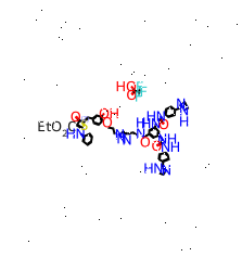 CCOC(=O)C1=C(Nc2ccccc2)S/C(=C\c2ccc(OCCCn3cc(CCNC(=O)c4cc(NC(=O)Nc5ccc(C6=NCCN6)cc5)cc(NC(=O)Nc5ccc(C6=NCCN6)cc5)c4)nn3)c(O)c2)C1=O.O=C(O)C(F)(F)F